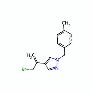 C=C(CBr)c1cnn(Cc2ccc(C)cc2)c1